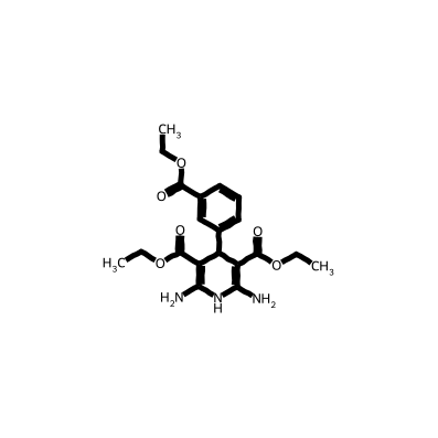 CCOC(=O)C1=C(N)NC(N)=C(C(=O)OCC)C1c1cccc(C(=O)OCC)c1